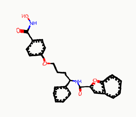 O=C(NO)c1ccc(OCCCC(NC(=O)c2cc3ccccc3o2)c2ccccc2)cc1